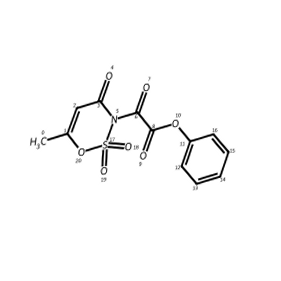 CC1=CC(=O)N(C(=O)C(=O)Oc2ccccc2)S(=O)(=O)O1